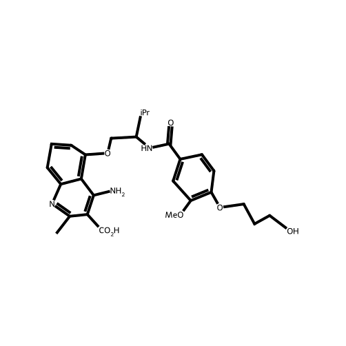 COc1cc(C(=O)NC(COc2cccc3nc(C)c(C(=O)O)c(N)c23)C(C)C)ccc1OCCCO